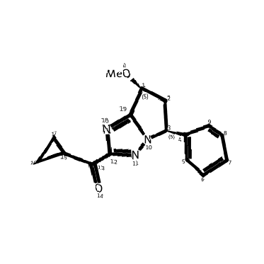 CO[C@H]1C[C@@H](c2ccccc2)n2nc(C(=O)C3CC3)nc21